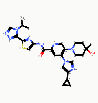 CC(n1cnnc1-c1nc(NC(=O)c2cc(-n3cnc(C4CC4)c3)c(N3CCC(C)(O)CC3)cn2)cs1)C(F)(F)F